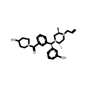 C=CCN1C[C@H](C)N([C@@H](c2cccc(O)c2)c2cccc(C(=O)N3CCC(O)CC3)c2)C[C@H]1C